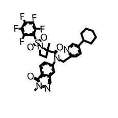 Cn1ncc2cc(N(Cc3ccc(C4CCCCC4)cn3)C(=O)C3(C)CCN3S(=O)(=O)c3c(F)c(F)c(F)c(F)c3F)ccc2c1=O